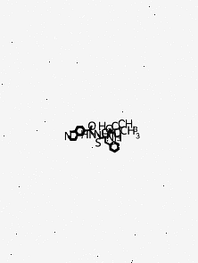 CC(C)(C)OC(=O)NC(C)(Cc1ccccc1)C(=S)NNC(=O)c1ccc2cnccc2c1